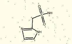 [NH]S(=O)(=O)Cc1ncc[nH]1